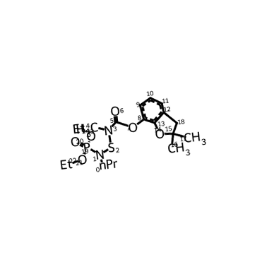 CCCN(SN(C)C(=O)Oc1cccc2c1OC(C)(C)C2)P(=O)(OCC)OCC